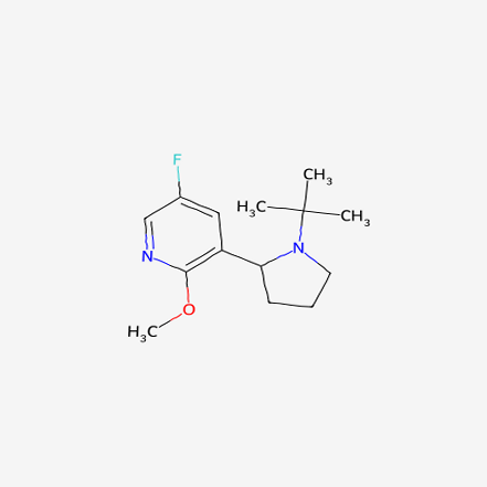 COc1ncc(F)cc1C1CCCN1C(C)(C)C